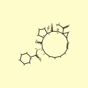 C=C(O)C12CC1/C=C\CCCCC[C@H](CC(=O)N1CCCCC1)C(=O)N1CCC[C@H]1C(=O)N2